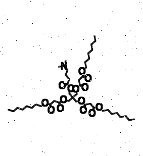 CCCCCCCCOC(=O)CC(=O)OCC(COC(=O)CCCN(C)C)(COC(=O)CC(=O)OCCCCCCCC)COC(=O)CC(=O)OCCCCCCCC